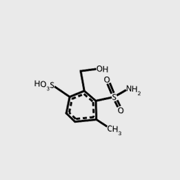 Cc1ccc(S(=O)(=O)O)c(CO)c1S(N)(=O)=O